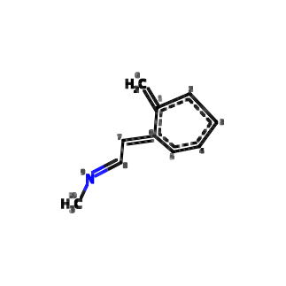 C=c1cccc/c1=C\C=N\C